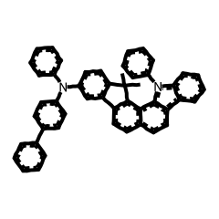 CC1(C)c2ccc(N(c3ccccc3)c3ccc(-c4ccccc4)cc3)cc2-c2ccc3ccc4c5ccccc5n(-c5ccccc5)c4c3c21